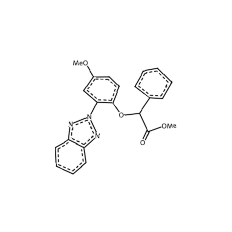 COC(=O)C(Oc1ccc(OC)cc1-n1nc2ccccc2n1)c1ccccc1